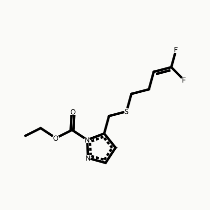 CCOC(=O)n1nc[c]c1CSCCC=C(F)F